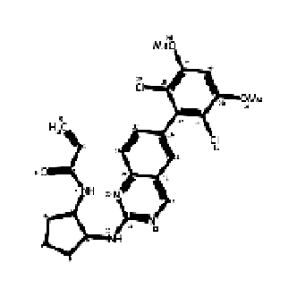 C=CC(=O)NC1CCCC1Nc1ncc2cc(-c3c(Cl)c(OC)cc(OC)c3Cl)ccc2n1